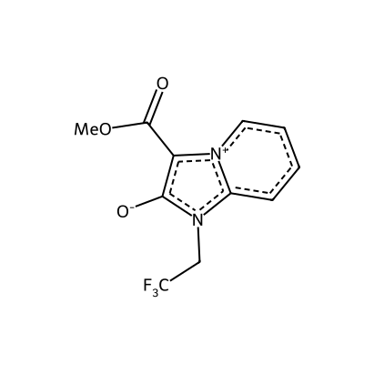 COC(=O)c1c([O-])n(CC(F)(F)F)c2cccc[n+]12